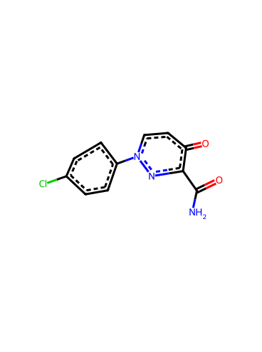 NC(=O)c1nn(-c2ccc(Cl)cc2)ccc1=O